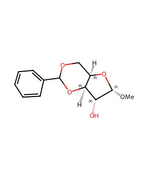 CO[C@H]1O[C@@H]2COC(c3ccccc3)O[C@@H]2[C@H]1O